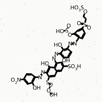 O=[N+]([O-])c1ccc(/N=N/c2c(SOOO)cc3cc(S(=O)(=O)O)cc(/N=N\c4c(O)ccc(/N=N/c5ccc(S(=O)(=O)CCOS(=O)(=O)O)cc5OS(=O)O)c4O)c3c2O)c(O)c1